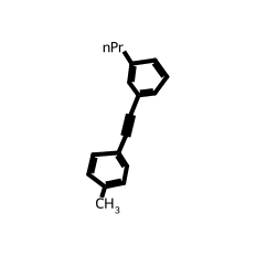 C[CH]Cc1cccc(C#Cc2ccc(C)cc2)c1